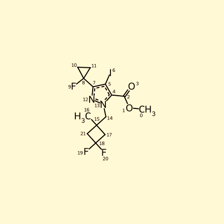 COC(=O)c1c(I)c(C2(F)CC2)nn1CC1(C)CC(F)(F)C1